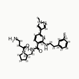 Cn1cc(-c2ccc(C(=O)NC[C@H]3CCCN3C(=O)CCN)c(NCCc3cccc(F)c3)n2)cn1